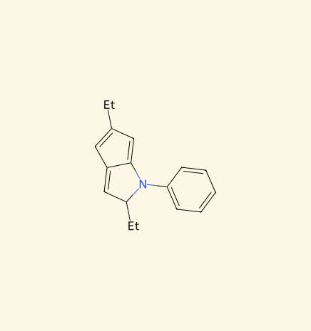 CCC1=CC2=CC(CC)N(c3ccccc3)C2=C1